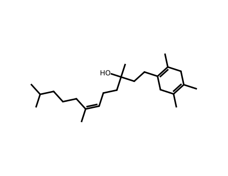 CC(=CCCC(C)(O)CCC1=C(C)CC(C)=C(C)C1)CCCC(C)C